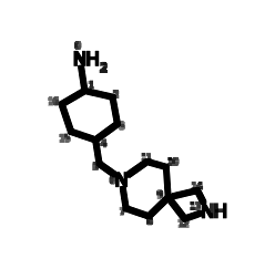 NC1CCC(CN2CCC3(CC2)CNC3)CC1